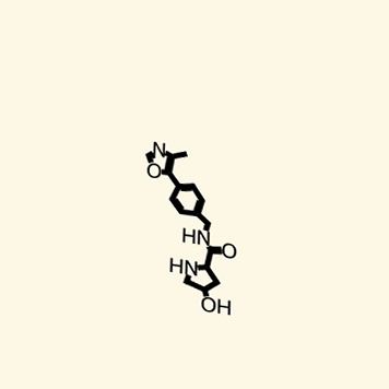 Cc1ncoc1-c1ccc(CNC(=O)C2CC(O)CN2)cc1